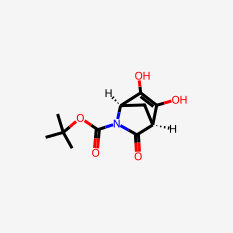 CC(C)(C)OC(=O)N1C(=O)[C@H]2C[C@@H]1C(O)=C2O